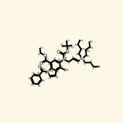 CCC[CH2][Sn]([CH]=CCN(C(=O)OC(C)(C)C)c1cc(C(=O)OCC)c2c(ccn2C(=O)c2ccccc2)c1I)([CH2]CCC)[CH2]CCC